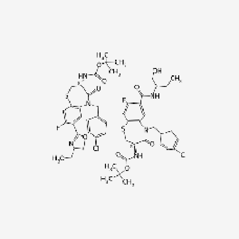 CCC(CO)NC(=O)c1cc2c(cc1F)SC[C@H](NC(=O)OC(C)(C)C)C(=O)N2CC1C=CC(Cl)=CC1.CCC1COC(c2cc3c(cc2F)SC[C@H](NC(=O)OC(C)(C)C)C(=O)N3Cc2ccc(Cl)cc2)=N1